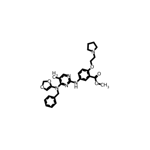 COC(=O)c1cc(Nc2ncc(C)c(N(Cc3ccccc3)C3=COCO3)n2)ccc1OCCN1CCCC1